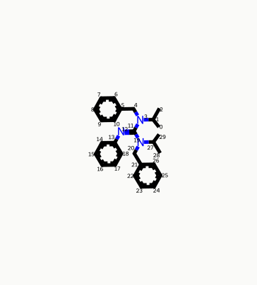 CC(C)N(Cc1ccccc1)C(=Nc1ccccc1)N(Cc1ccccc1)C(C)C